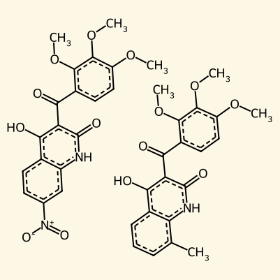 COc1ccc(C(=O)c2c(O)c3ccc([N+](=O)[O-])cc3[nH]c2=O)c(OC)c1OC.COc1ccc(C(=O)c2c(O)c3cccc(C)c3[nH]c2=O)c(OC)c1OC